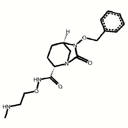 CNCCONC(=O)[C@@H]1CC[C@@H]2CN1C(=O)N2OCc1ccccc1